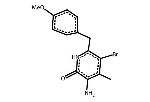 COc1ccc(Cc2[nH]c(=O)c(N)c(C)c2Br)cc1